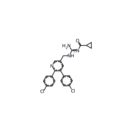 N/C(=N\C(=O)C1CC1)NCc1cnc(-c2ccc(Cl)cc2)c(-c2ccc(Cl)cc2)c1